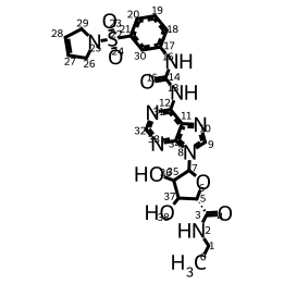 CCNC(=O)[C@H]1OC(n2cnc3c(NC(=O)Nc4cccc(S(=O)(=O)N5CC=CC5)c4)ncnc32)C(O)C1O